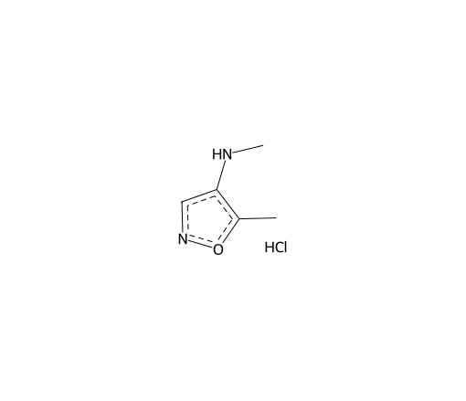 CNc1cnoc1C.Cl